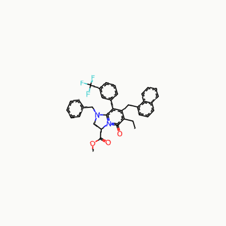 CCc1c(Cc2cccc3ccccc23)c(-c2cccc(C(F)(F)F)c2)c2n(c1=O)C(C(=O)OC)CN2Cc1ccccc1